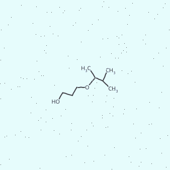 CC(C)C(C)OCCCO